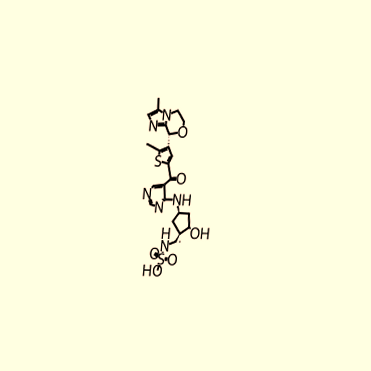 Cc1sc(C(=O)c2cncnc2N[C@H]2C[C@H](O)[C@@H]([CH]NS(=O)(=O)O)C2)cc1[C@H]1OCCn2c(C)cnc21